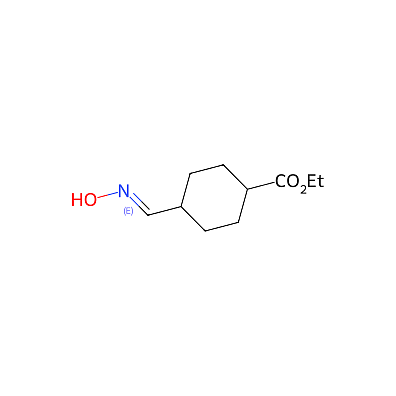 CCOC(=O)C1CCC(/C=N/O)CC1